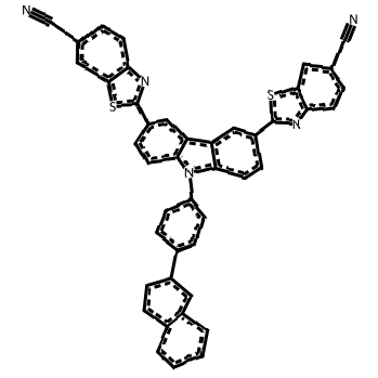 N#Cc1ccc2nc(-c3ccc4c(c3)c3cc(-c5nc6ccc(C#N)cc6s5)ccc3n4-c3ccc(-c4ccc5ccccc5c4)cc3)sc2c1